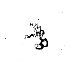 COCCNc1nc(N)nc2ccn(Cc3cccc4c3OCC4)c12